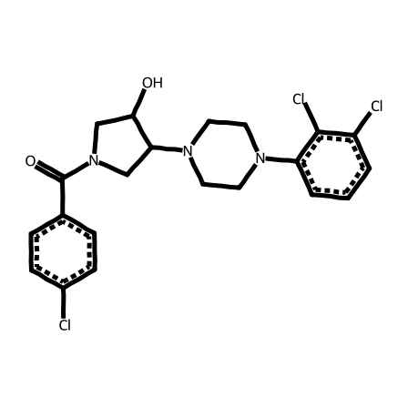 O=C(c1ccc(Cl)cc1)N1CC(O)C(N2CCN(c3cccc(Cl)c3Cl)CC2)C1